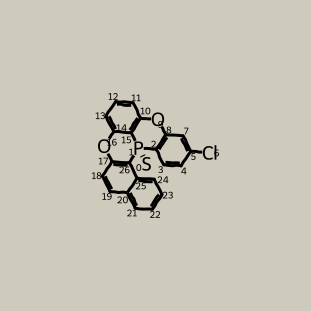 S=P12c3ccc(Cl)cc3Oc3cccc(c31)Oc1ccc3ccccc3c12